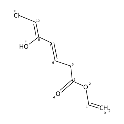 C=COC(=O)CC=CC(O)=CCl